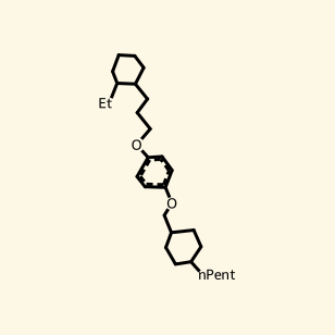 CCCCCC1CCC(COc2ccc(OCCCC3CCCCC3CC)cc2)CC1